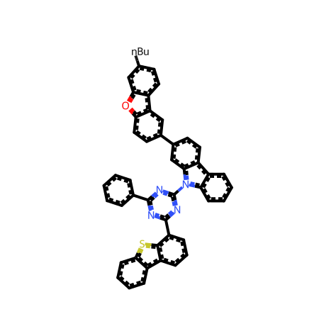 CCCCc1ccc2c(c1)oc1ccc(-c3ccc4c5ccccc5n(-c5nc(-c6ccccc6)nc(-c6cccc7c6sc6ccccc67)n5)c4c3)cc12